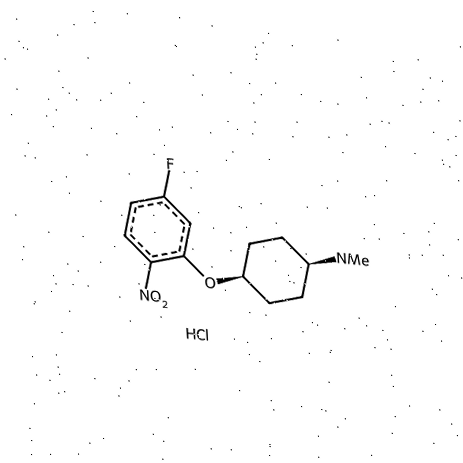 CN[C@H]1CC[C@@H](Oc2cc(F)ccc2[N+](=O)[O-])CC1.Cl